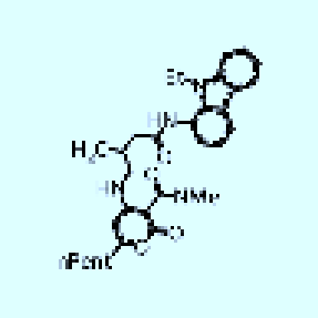 CCCCCc1cc(NCC(C)CC(=O)Nc2cccc3c4ccccc4n(CC)c23)c(C(=O)NC)c(=O)o1